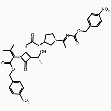 CC(C)=C(C(=O)OCc1ccc([N+](=O)[O-])cc1)N1C(=O)[C@H]([C@@H](C)O)[C@H]1CC(=O)S[C@H]1CCN(/C(C)=N/C(=O)OCc2ccc([N+](=O)[O-])cc2)C1